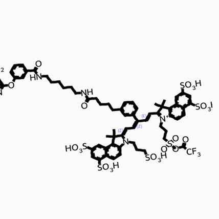 CC1(C)C(/C=C/C(=C/C=C2\N(CCCS(=O)(=O)O)c3ccc4c(S(=O)(=O)O)cc(S(=O)(=O)O)cc4c3C2(C)C)c2cccc(CCCCC(=O)NCCCCCCNC(=O)c3cccc(Oc4cc(CN)cc(C(F)(F)F)n4)c3)c2)=[N+](CCCS(=O)(=O)OC(=O)C(F)(F)F)c2ccc3c(S(=O)(=O)O)cc(S(=O)(=O)O)cc3c21